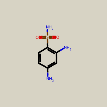 Nc1ccc(S(N)(=O)=O)c(N)c1